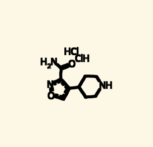 Cl.Cl.NC(=O)c1nocc1C1CCNCC1